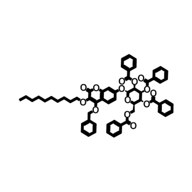 CCCCCCCCCCOc1c(OCc2ccccc2)c2ccc(O[C@H]3O[C@H](COC(=O)c4ccccc4)[C@@H](OC(=O)c4ccccc4)[C@H](OC(=O)c4ccccc4)[C@@H]3OC(=O)c3ccccc3)cc2oc1=O